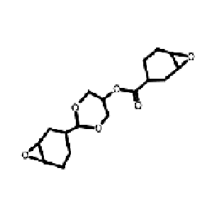 O=C(OC1COC(C2CCC3OC3C2)OC1)C1CCC2OC2C1